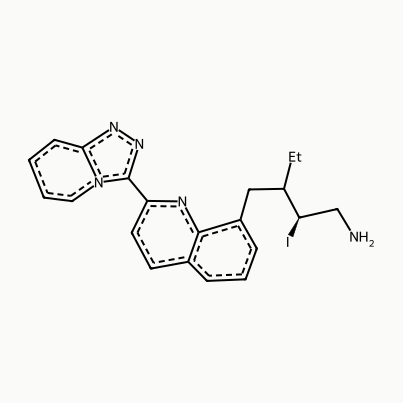 CCC(Cc1cccc2ccc(-c3nnc4ccccn34)nc12)[C@H](I)CN